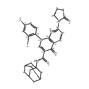 O=C(NC12CC3CC(CC(C3)C1)C2)c1cn(-c2ccc(F)cc2F)c2nc(N3CCCC3=O)ccc2c1=O